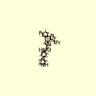 CC(C)n1cnc(-c2ccc(F)cc2)c1-c1nc(C(=O)Nc2ccc(N3CCNCC3)cc2)c[nH]1